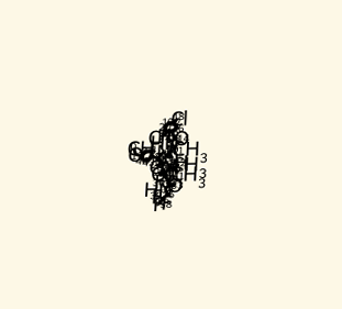 COc1ccc(C(NC(=O)C(C)NC(=O)c2cc(Cl)ccc2Cl)C(=O)N[C@H](C(=O)C(F)(F)C(=O)NCC(F)(F)F)C(C)C)cc1